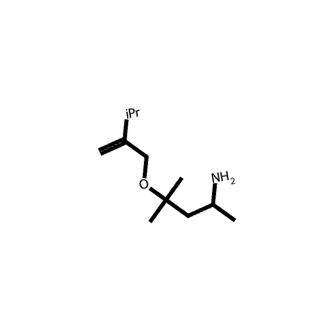 C=C(COC(C)(C)CC(C)N)C(C)C